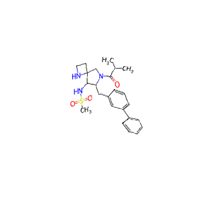 CC(C)C(=O)N1CC2(CCN2)C(NS(C)(=O)=O)C1Cc1cccc(-c2ccccc2)c1